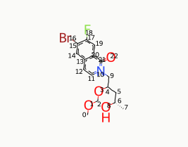 COCOC(C[C@H](C)O)Cn1ccc2cc(Br)c(F)cc2c1=O